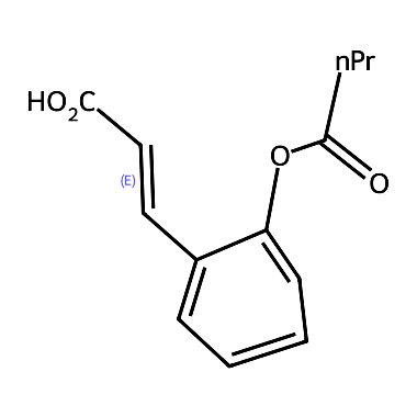 CCCC(=O)Oc1ccccc1/C=C/C(=O)O